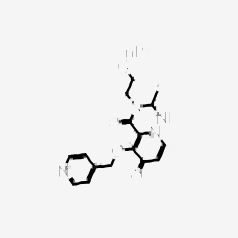 CCCOCCN1C(=O)c2c(OCc3ccncc3)c(=O)ccn2NC1C